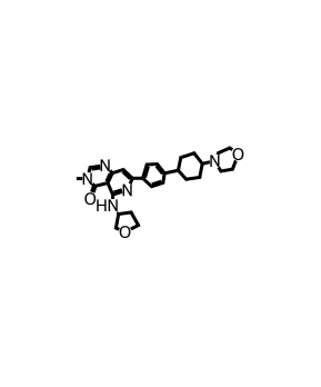 Cn1cnc2cc(-c3ccc(C4CCC(N5CCOCC5)CC4)cc3)nc(N[C@@H]3CCOC3)c2c1=O